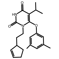 Cc1cc(C)cc(Oc2c(C(C)C)c(=O)[nH]c(=O)n2CCC2C=CCC2)c1